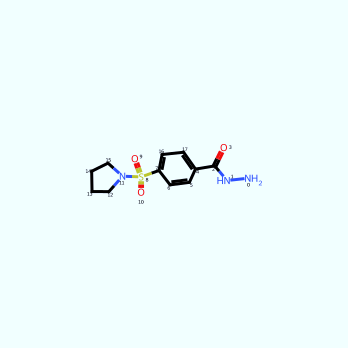 NNC(=O)c1ccc(S(=O)(=O)N2CCCC2)cc1